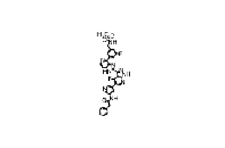 CS(=O)(=O)NCc1cc(F)cc(-c2nccc3[nH]c(-c4n[nH]c5ncc(-c6cncc(NC(=O)Cc7ccccc7)c6)c(F)c45)nc23)c1